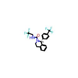 O=C(NCC(F)(F)F)N1CCc2ccccc2[C@H]1c1ccc(C(F)(F)F)cc1